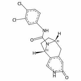 O=C(Nc1ccc(Cl)c(Cl)c1)N1[C@@H]2CC[C@H]1c1c[nH]c(=O)cc1C2